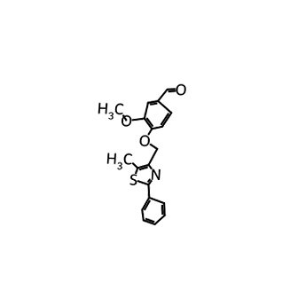 COc1cc(C=O)ccc1OCc1nc(-c2ccccc2)sc1C